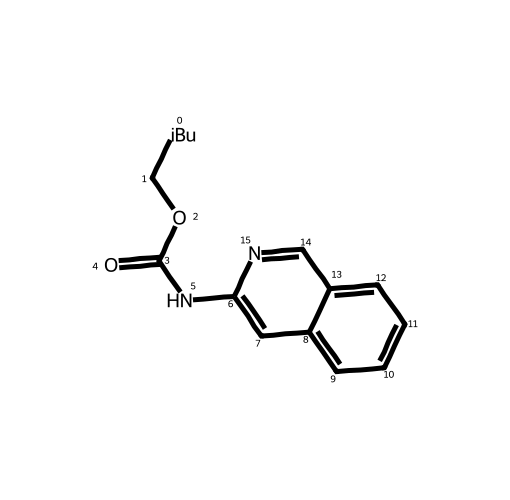 CCC(C)COC(=O)Nc1cc2ccccc2cn1